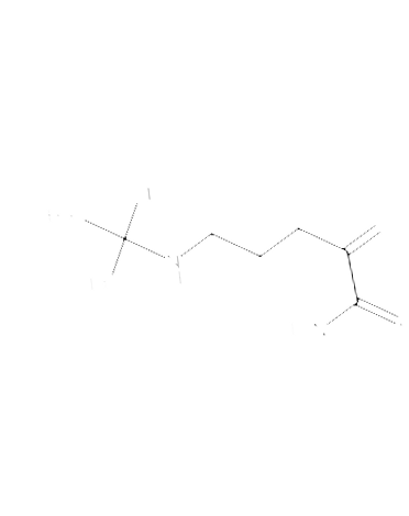 C=C(CCCNC(C)(C)C)C(N)=O